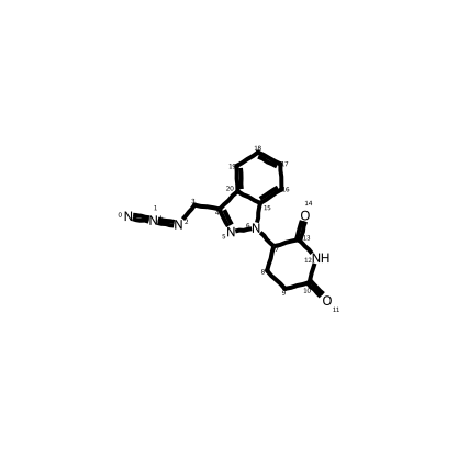 [N-]=[N+]=NCc1nn(C2CCC(=O)NC2=O)c2ccccc12